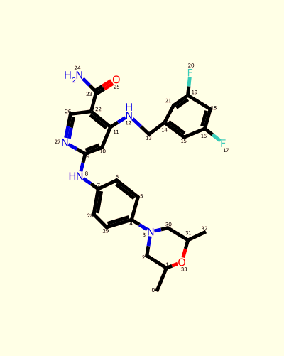 CC1CN(c2ccc(Nc3cc(NCc4cc(F)cc(F)c4)c(C(N)=O)cn3)cc2)CC(C)O1